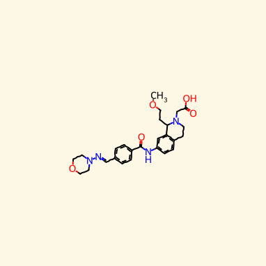 COCCC1c2cc(NC(=O)c3ccc(C=NN4CCOCC4)cc3)ccc2CCN1CC(=O)O